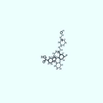 COCCN1CCCC(CCN2CCn3c(c(C4CCCCC4)c4ccc(C(=O)O)cc43)-c3ccc(C)cc32)C1